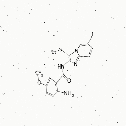 CCSc1c(NC(=O)c2cc(OC(F)(F)F)ccc2N)nc2ccc(I)cn12